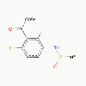 CCC[S+]([O-])Nc1ccc(F)c(C(=O)OC)c1F